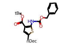 CCCCCCCCCCc1cc(C(=O)OC(C)(C)C)c(NC(=O)OCc2ccccc2)s1